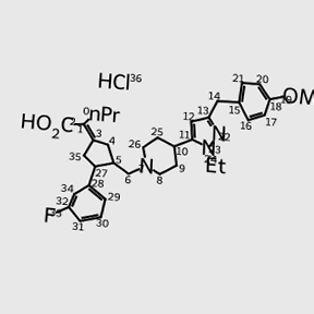 CCC/C(C(=O)O)=C1\CC(CN2CCC(c3cc(Cc4ccc(OC)cc4)nn3CC)CC2)C(c2cccc(F)c2)C1.Cl